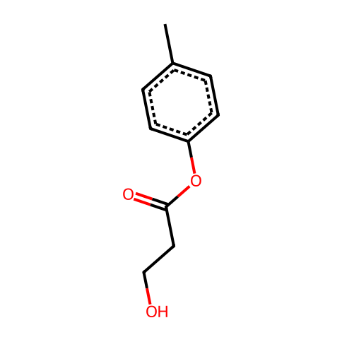 Cc1ccc(OC(=O)CCO)cc1